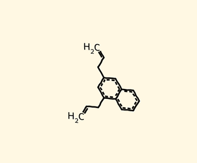 C=CCc1cc(CC=C)c2ccccc2c1